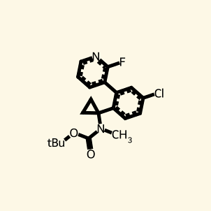 CN(C(=O)OC(C)(C)C)C1(c2ccc(Cl)cc2-c2cccnc2F)CC1